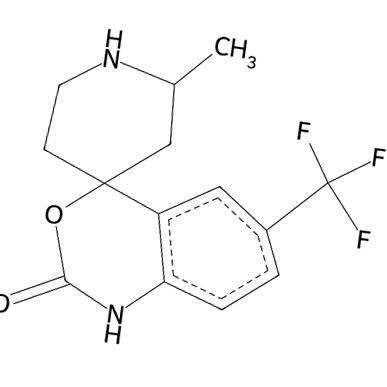 CC1CC2(CCN1)OC(=O)Nc1ccc(C(F)(F)F)cc12